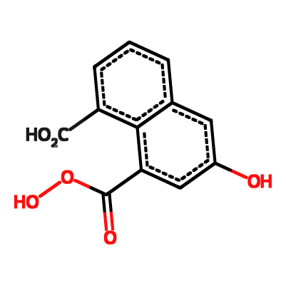 O=C(O)c1cccc2cc(O)cc(C(=O)OO)c12